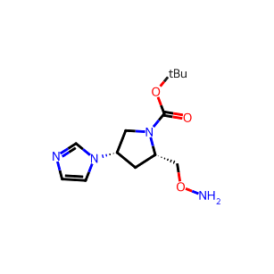 CC(C)(C)OC(=O)N1C[C@@H](n2ccnc2)C[C@H]1CON